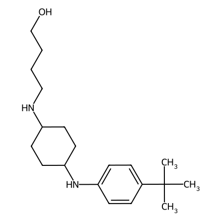 CC(C)(C)c1ccc(NC2CCC(NCCCCO)CC2)cc1